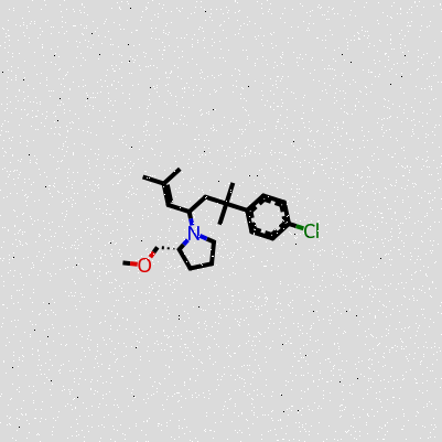 COC[C@H]1CCCN1C(C=C(C)C)CC(C)(C)c1ccc(Cl)cc1